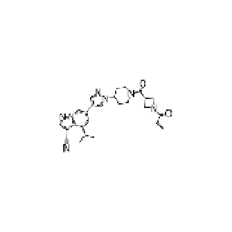 C=CC(=O)N1CC(C(=O)N2CCC(n3cc(-c4cc(C(C)C)c5c(C#N)cnn5c4)cn3)CC2)C1